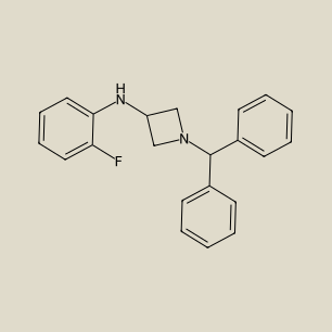 Fc1ccccc1NC1CN(C(c2ccccc2)c2ccccc2)C1